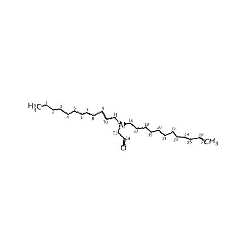 CCCCCCCCCCC[CH2][Al]([CH2]C=O)[CH2]CCCCCCCCCCC